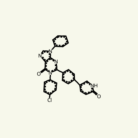 O=c1ccc(-c2ccc(-c3nc4c(ncn4-c4ccccc4)c(=O)n3-c3ccc(Cl)cc3)cc2)c[nH]1